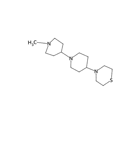 CN1CCC(N2CCC(N3CCSCC3)CC2)CC1